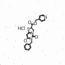 Cl.O=C(OCc1ccncc1)C1Cn2c(cc(=O)n(Cc3ccccc3)c2=O)S1